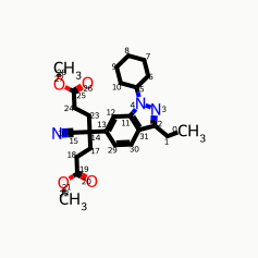 CCc1nn(C2CCCCC2)c2cc(C(C#N)(CCC(=O)OC)CCC(=O)OC)ccc12